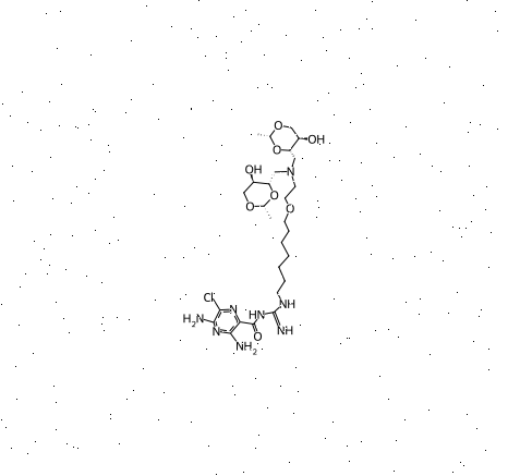 C[C@@H]1OC[C@@H](O)[C@H](CN(CCOCCCCCCCNC(=N)NC(=O)c2nc(Cl)c(N)nc2N)C[C@@H]2O[C@H](C)OC[C@H]2O)O1